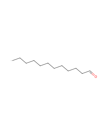 [CH2]CCCCCCCCCCC=O